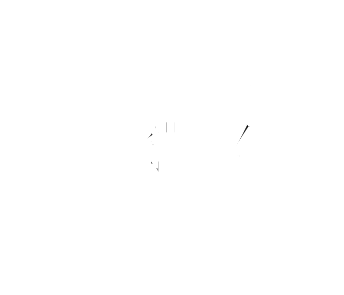 C[C@@H](NC1CCC[C@H](c2ccccc2)C1)c1cccc2ccccc12